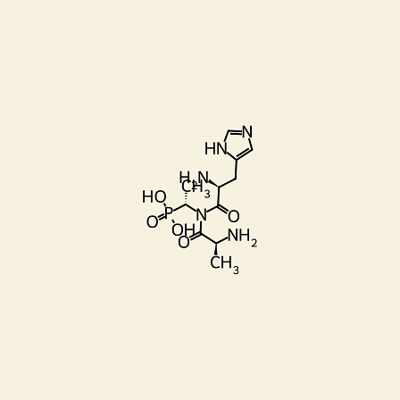 C[C@H](N)C(=O)N(C(=O)[C@@H](N)Cc1cnc[nH]1)[C@@H](C)P(=O)(O)O